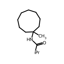 CC(C)C(=O)NC1(C)CCCCCCCC1